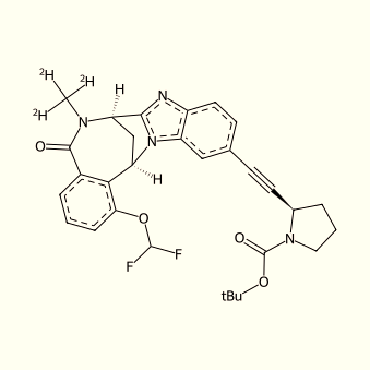 [2H]C([2H])([2H])N1C(=O)c2cccc(OC(F)F)c2[C@H]2C[C@@H]1c1nc3ccc(C#C[C@H]4CCCN4C(=O)OC(C)(C)C)cc3n12